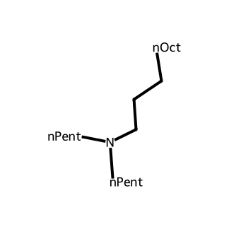 CCCCCCCCCCCN(CCCCC)CCCCC